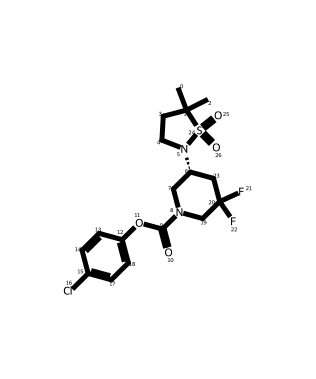 CC1(C)CCN([C@H]2CN(C(=O)Oc3ccc(Cl)cc3)CC(F)(F)C2)S1(=O)=O